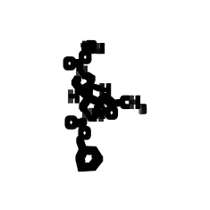 Cc1cc(C2(CNC(=O)OCc3ccccc3)[C@@H]3CN(C(=O)OC(C)(C)C)C[C@@H]32)no1